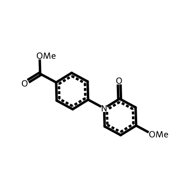 COC(=O)c1ccc(-n2ccc(OC)cc2=O)cc1